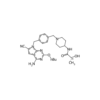 CCCCOc1nc(N)c2cc(C#N)n(Cc3ccc(CN4CCC(NC(=O)[C@@H](C)O)CC4)cc3)c2n1